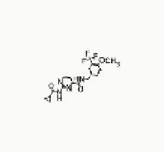 COc1ccc(CNC(=O)c2ccnc(NC(=O)C3CC3)n2)cc1C(F)(F)F